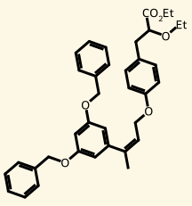 CCOC(=O)C(Cc1ccc(OCC=C(C)c2cc(OCc3ccccc3)cc(OCc3ccccc3)c2)cc1)OCC